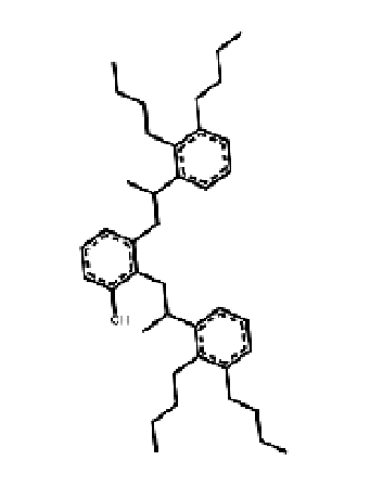 CCCCc1cccc(C(C)Cc2cccc(O)c2CC(C)c2cccc(CCCC)c2CCCC)c1CCCC